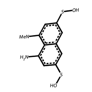 CNc1cc(SO)cc2cc(SO)cc(N)c12